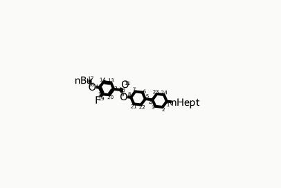 CCCCCCCC1CCC(C2CCC(OC(=O)c3ccc(OCCCC)c(F)c3)CC2)CC1